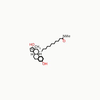 CNC(=O)CCCCCCCCCC[C@H]1C[C@]2(C)[C@@H](O)CC[C@H]2[C@@H]2CCc3cc(O)ccc3[C@@H]12